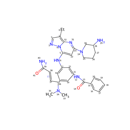 CCc1cnn2c(Nc3cccc(NC(=O)c4ccccc4)c3)cc(N3CCCC(N)C3)nc12.CN(C)C/C=C/C(N)=O